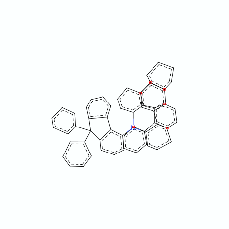 c1ccc(-c2ccccc2-c2c(-c3ccccc3)cccc2N(c2ccccc2-c2ccccc2)c2cccc3c2-c2ccccc2C3(c2ccccc2)c2ccccc2)cc1